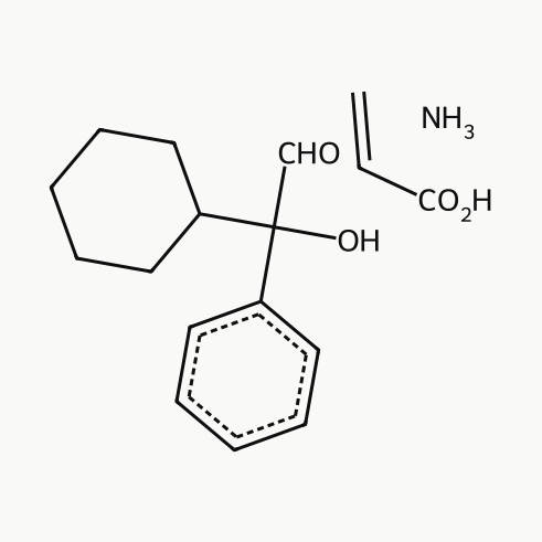 C=CC(=O)O.N.O=CC(O)(c1ccccc1)C1CCCCC1